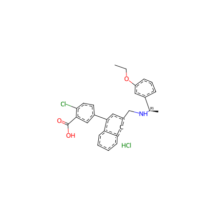 CCOc1cccc([C@@H](C)NCc2cc(-c3ccc(Cl)c(C(=O)O)c3)c3ccccc3c2)c1.Cl